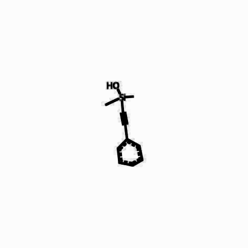 C[Si](C)(O)C#Cc1ccccc1